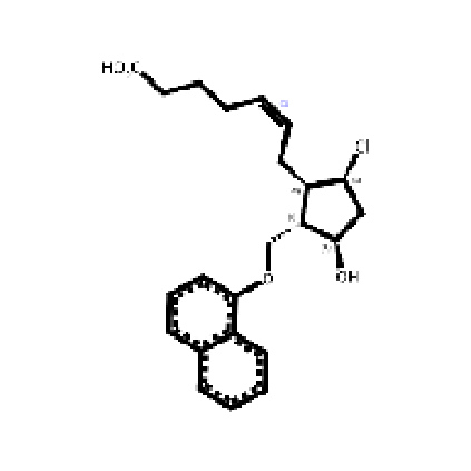 O=C(O)CCC/C=C\C[C@@H]1[C@@H](COc2cccc3ccccc23)[C@H](O)C[C@@H]1Cl